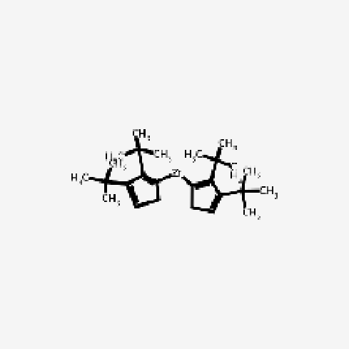 CC(C)(C)C1=CC[C]([Zr][C]2=C(C(C)(C)C)C(C(C)(C)C)=CC2)=C1C(C)(C)C